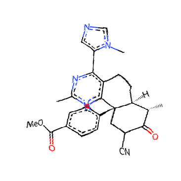 COC(=O)c1ccc([C@]23CC(C#N)C(=O)[C@@H](C)[C@@H]2CCc2c(-c4cncn4C)nc(C)nc23)cc1